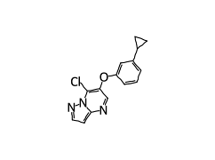 Clc1c(Oc2cccc(C3CC3)c2)cnc2ccnn12